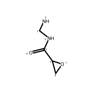 [NH]CNC(=O)C1CO1